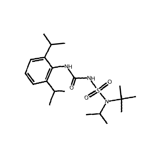 CC(C)c1cccc(C(C)C)c1NC(=O)NS(=O)(=O)N(C(C)C)C(C)(C)C